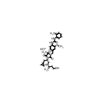 COc1cc(CN2C(=O)N([C@@H](CN[C@H](C)CCO)CC3CC3)C(=O)C2(C)C)ccc1NC(=O)Nc1ccccc1C.Cl